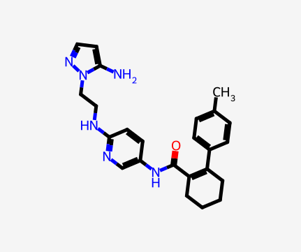 Cc1ccc(C2=C(C(=O)Nc3ccc(NCCn4nccc4N)nc3)CCCC2)cc1